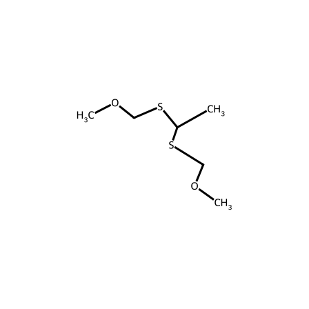 COCSC(C)SCOC